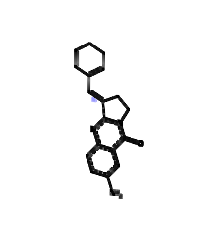 Nc1ccc2nc3n(c(=O)c2c1)CC/C3=C\C1=CCCC=C1